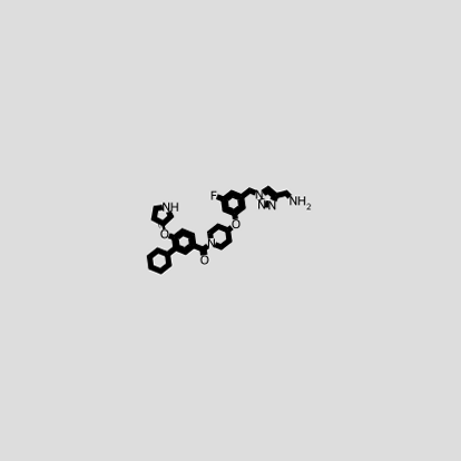 NCc1cn(Cc2cc(F)cc(OC3CCN(C(=O)c4ccc(O[C@H]5CCNC5)c(C5CCCCC5)c4)CC3)c2)nn1